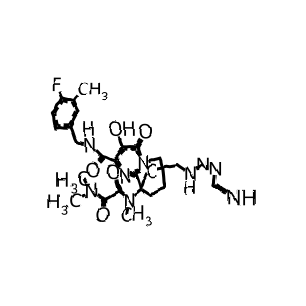 Cc1cc(CNC(=O)c2nc3n(c(=O)c2O)CC2(CN/N=N\C=N)CCC3(N(C)C(=O)C(=O)N(C)C)CC2)ccc1F